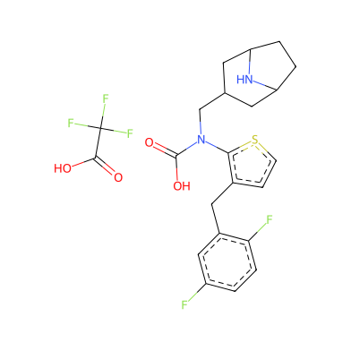 O=C(O)C(F)(F)F.O=C(O)N(CC1CC2CCC(C1)N2)c1sccc1Cc1cc(F)ccc1F